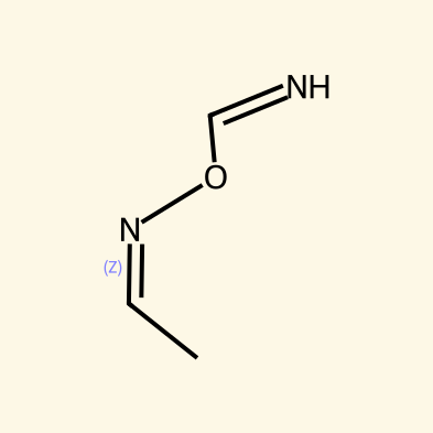 C/C=N\OC=N